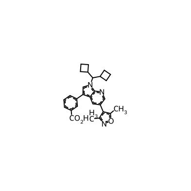 Cc1noc(C)c1-c1cnc2c(c1)c(-c1cccc(C(=O)O)c1)cn2C(C1CCC1)C1CCC1